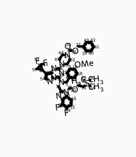 COc1ccc(CN(Cc2nc3c(F)c(F)ccc3n2COCCS(C)(C)C)c2nc(N3CCN(C(=O)OCc4ccccc4)CC3)nc3c(C4CC4(F)F)cnn23)cc1